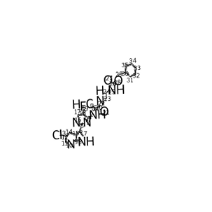 C[C@H](Nc1nc(-c2c[nH]c3ncc(Cl)cc23)ncc1F)C(=O)NCCNC(=O)OCc1ccccc1